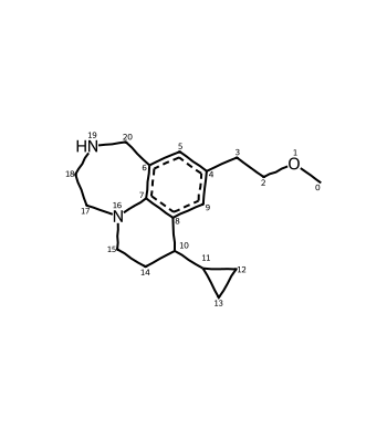 COCCc1cc2c3c(c1)C(C1CC1)CCN3CCNC2